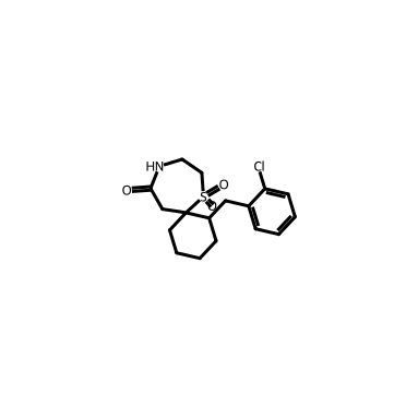 O=C1CC2(CCCCC2Cc2ccccc2Cl)S(=O)(=O)CCN1